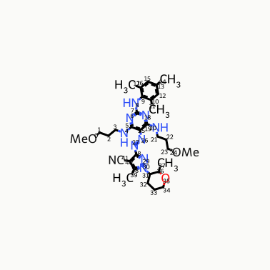 COCCCNc1nc(Nc2c(C)cc(C)cc2C)nc(NCCCOC)c1N=Nc1nn(C2CCCOC2C)c(C)c1C#N